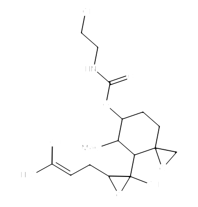 COC1C(OC(=O)NCCO)CCC2(CO2)C1C1(C)OC1CC=C(C)C